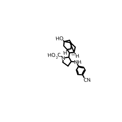 N#Cc1ccc(NC2CCN(C(=O)O)C2C2[C@@H]3CC4C[C@H]2CC(O)(C4)C3)cc1